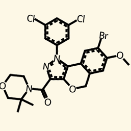 COc1cc2c(cc1Br)-c1c(c(C(=O)N3CCOCC3(C)C)nn1-c1cc(Cl)cc(Cl)c1)OC2